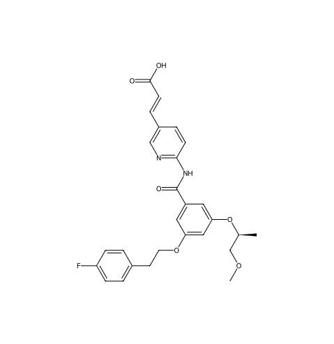 COC[C@H](C)Oc1cc(OCCc2ccc(F)cc2)cc(C(=O)Nc2ccc(/C=C/C(=O)O)cn2)c1